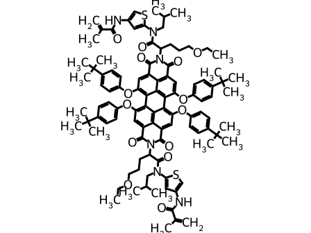 C=C(C)C(=O)Nc1csc(N(CC(C)C)C(=O)C(CCCOCC)N2C(=O)c3cc(Oc4ccc(C(C)(C)C)cc4)c4c5c(Oc6ccc(C(C)(C)C)cc6)cc6c7c(cc(Oc8ccc(C(C)(C)C)cc8)c(c8c(Oc9ccc(C(C)(C)C)cc9)cc(c3c48)C2=O)c75)C(=O)N(C(CCCOCC)C(=O)N(CC(C)C)c2cc(NC(=O)C(=C)C)cs2)C6=O)c1